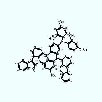 Cc1cc(C(C)(C)C)ccc1N(c1ccc2c(c1)N(c1cccc3c1oc1ccccc13)c1cc(C(C)(C)C)cc3c1B2c1cccc2c4c5ccccc5sc4n-3c12)c1ccc(C(C)(C)C)cc1C